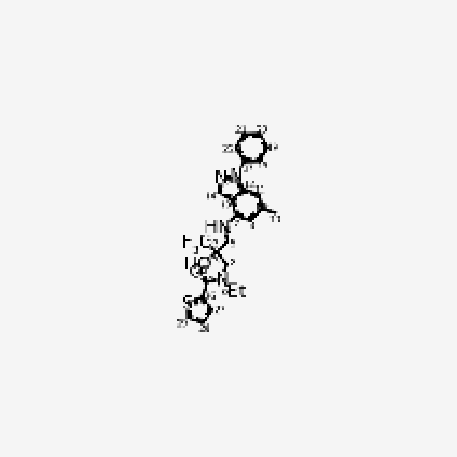 CCN(CC(O)(CNc1cc(C)cc2c1cnn2-c1ccccc1)C(F)(F)F)C(=O)c1cccs1